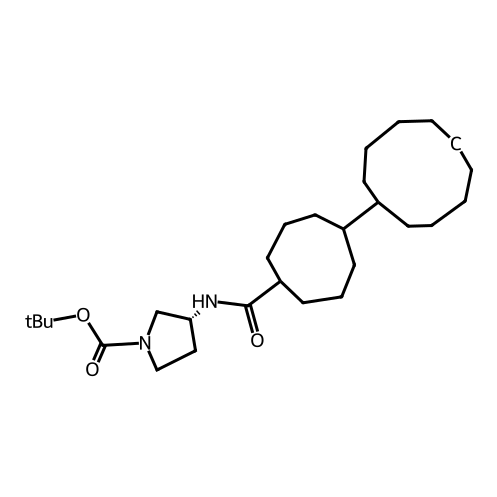 CC(C)(C)OC(=O)N1CC[C@@H](NC(=O)C2CCCC(C3CCCCCCCCC3)CCC2)C1